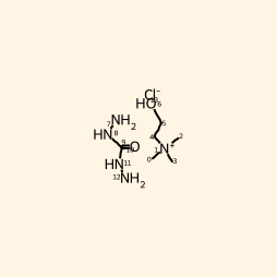 C[N+](C)(C)CCO.NNC(=O)NN.[Cl-]